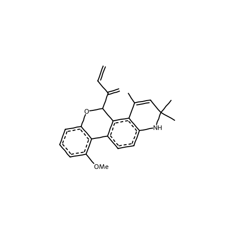 C=CC(=C)C1Oc2cccc(OC)c2-c2ccc3c(c21)C(C)=CC(C)(C)N3